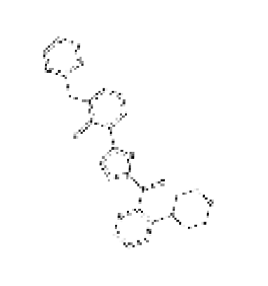 O=C(c1ccccc1N1CCOCC1)n1ccc(-c2cccn(Cc3ncccn3)c2=O)n1